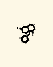 O=C1C=C2CCCC(=O)C2(Cc2ccccc2)CC1